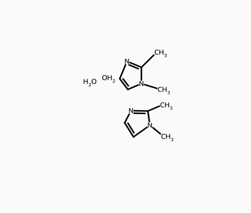 Cc1nccn1C.Cc1nccn1C.O.O